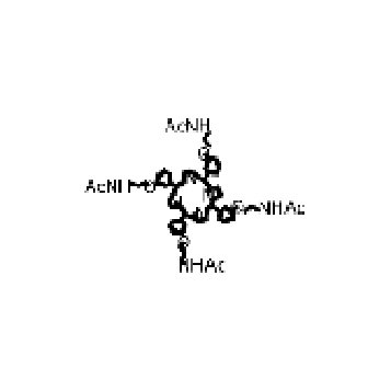 CC(=O)NCCCOc1cccc(C2=C3C=CC(=N3)C(c3cccc(OCCCNC(C)=O)c3)=C3C=CC(=N3)C(c3cccc(OCCCNC(C)=O)c3)=C3C=CC(=N3)C(c3cccc(OCCCNC(C)=O)c3)=C3C=CC2=N3)c1